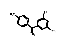 C=C(c1ccc(C)cc1)c1cc(N)cc(S)c1